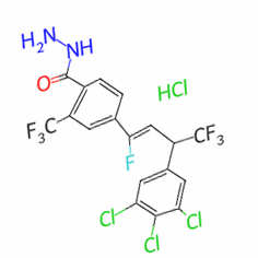 Cl.NNC(=O)c1ccc(/C(F)=C/C(c2cc(Cl)c(Cl)c(Cl)c2)C(F)(F)F)cc1C(F)(F)F